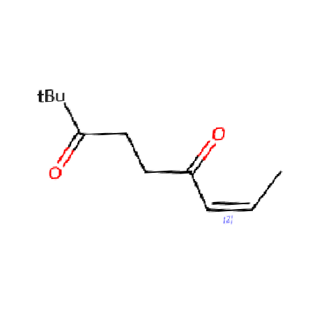 C/C=C\C(=O)CCC(=O)C(C)(C)C